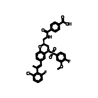 COc1cc(S(=O)(=O)N2C[C@H](CNC(=O)c3ccc(C(=O)O)cc3)Oc3ccc(C=C(C)c4c(F)cccc4Cl)cc32)ccc1F